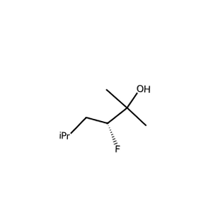 CC(C)C[C@@H](F)C(C)(C)O